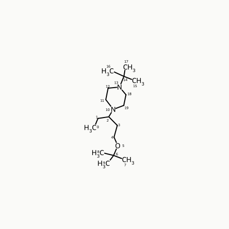 CCC(CCOC(C)(C)C)N1CCN(C(C)(C)C)CC1